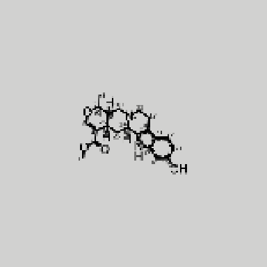 COC(=O)C1=CO[C@@H](C)[C@@H]2CN3CCc4c([nH]c5cc(O)ccc45)[C@@H]3C[C@H]12